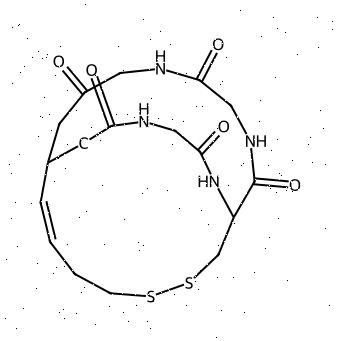 O=C1CNC(=O)CNC(=O)C2CSSCCC=CC(C1)CC(=O)NCC(=O)N2